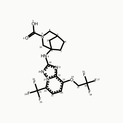 O=C(O)N1CC2CCC(Nc3nc4c(OCC(F)(F)F)ccc(C(F)(F)F)n4n3)(C2)C1